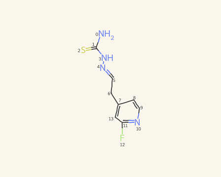 NC(=S)N/N=C/Cc1ccnc(F)c1